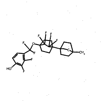 CC12CCC(C34CCC(OC(F)(F)c5ccc(O)c(F)c5F)(CC3)C(F)(F)C4(F)F)(CC1)CC2